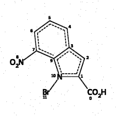 O=C(O)c1cc2cccc([N+](=O)[O-])c2n1Br